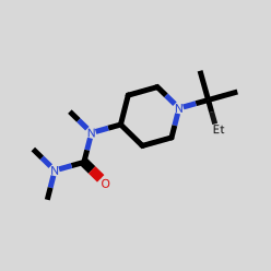 CCC(C)(C)N1CCC(N(C)C(=O)N(C)C)CC1